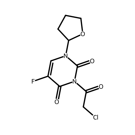 O=C(CCl)n1c(=O)c(F)cn(C2CCCO2)c1=O